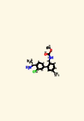 C[C@@H](N)c1ccc(-c2cc(C(F)(F)F)ccc2CNC(=O)OC(C)(C)C)cc1Cl